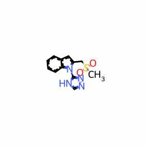 CS(=O)(=O)Cc1cc2ccccc2n1-c1nnc[nH]1